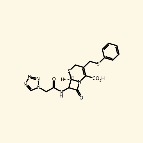 O=C(Cn1cnnn1)NC1C(=O)N2C(C(=O)O)=C(CSc3ccccc3)CS[C@H]12